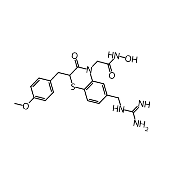 COc1ccc(CC2Sc3ccc(CNC(=N)N)cc3N(CC(=O)NO)C2=O)cc1